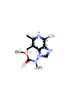 CCCN(C(=O)OC(C)(C)C)n1cnc2c(Cl)nc(C)c(C)c21